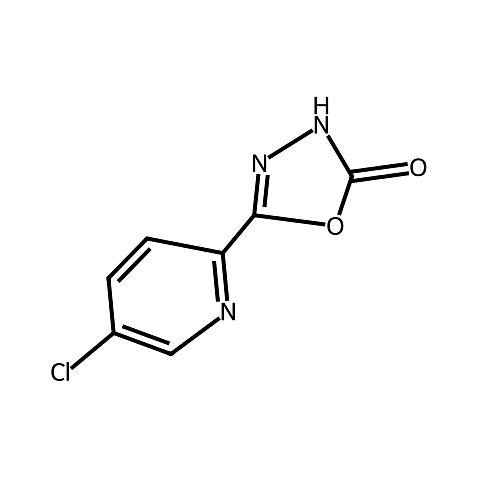 O=c1[nH]nc(-c2ccc(Cl)cn2)o1